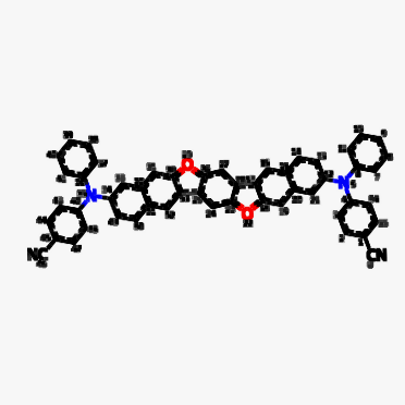 N#Cc1ccc(N(c2ccccc2)c2ccc3cc4c(cc3c2)oc2cc3c(cc24)oc2cc4cc(N(c5ccccc5)c5ccc(C#N)cc5)ccc4cc23)cc1